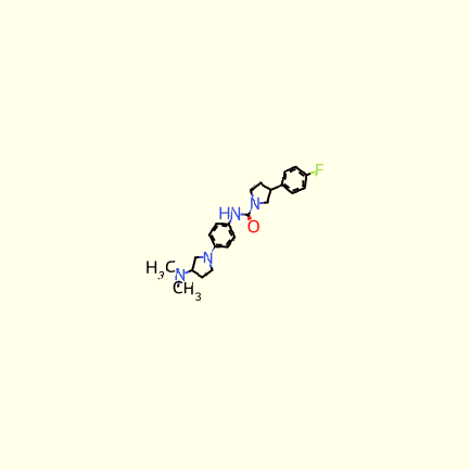 CN(C)C1CCN(c2ccc(NC(=O)N3CCC(c4ccc(F)cc4)C3)cc2)C1